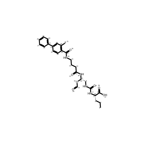 CCC[C@H](NC(=O)NC[C@@H](NC(=O)CCCNC(=O)c1ccc(-c2ccccc2)cc1F)OC=O)C(=O)O